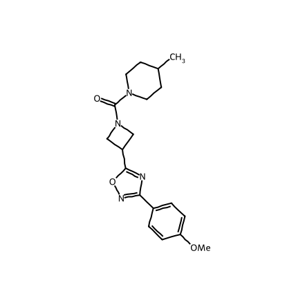 COc1ccc(-c2noc(C3CN(C(=O)N4CCC(C)CC4)C3)n2)cc1